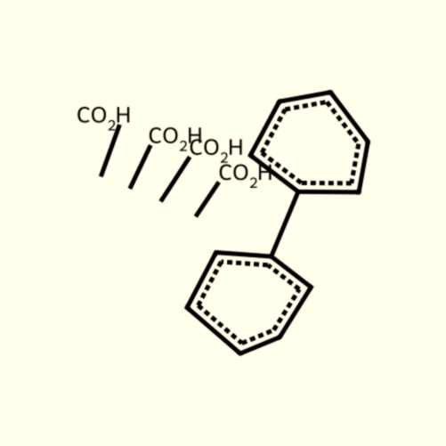 CC(=O)O.CC(=O)O.CC(=O)O.CC(=O)O.c1ccc(-c2ccccc2)cc1